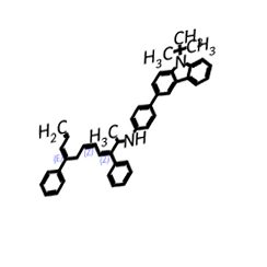 C=C/C=C(\C/C=C\C=C(\c1ccccc1)C(C)Nc1ccc(-c2ccc3c(c2)c2ccccc2n3C(C)(C)C)cc1)c1ccccc1